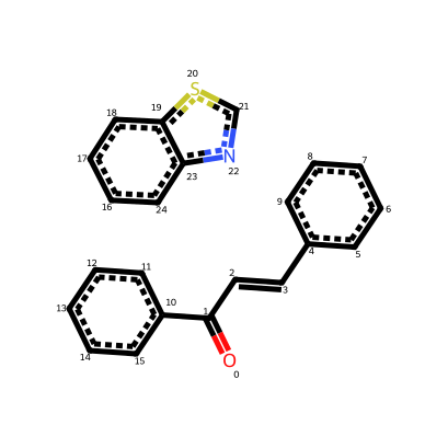 O=C(C=Cc1ccccc1)c1ccccc1.c1ccc2scnc2c1